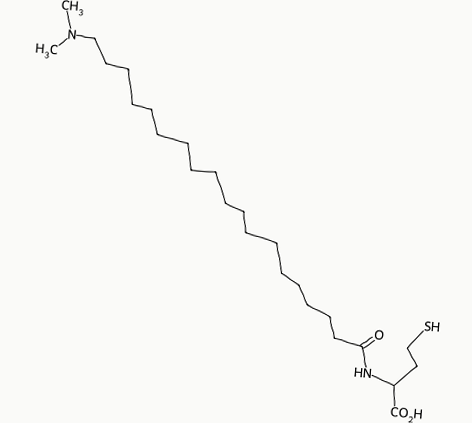 CN(C)CCCCCCCCCCCCCCCCCCC(=O)NC(CCS)C(=O)O